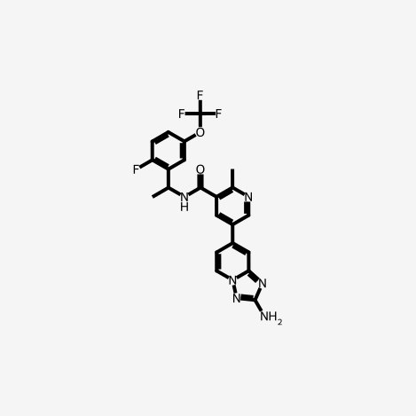 Cc1ncc(-c2ccn3nc(N)nc3c2)cc1C(=O)NC(C)c1cc(OC(F)(F)F)ccc1F